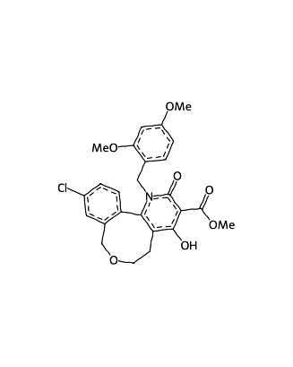 COC(=O)c1c(O)c2c(n(Cc3ccc(OC)cc3OC)c1=O)-c1ccc(Cl)cc1COCC2